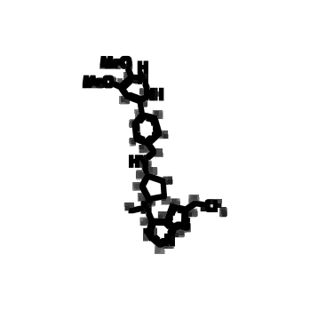 COC1=C(OC)NNC(c2ccc(CN[C@H]3CC[C@@H](N(C)c4ncnc5sc(CC(F)(F)F)cc45)C3)cc2)=C1